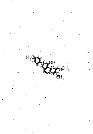 CO/C=C(/Oc1cccc(COc2ccc(C)cc2)c1C(=O)O)C(=O)OC